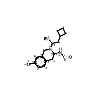 CC(C)[C@@H](CC1CCC1)N1Cc2cc(O)ccc2C[C@@H]1NC=O